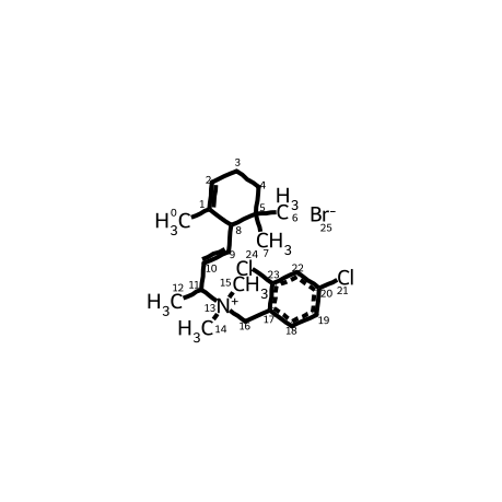 CC1=CCCC(C)(C)C1C=CC(C)[N+](C)(C)Cc1ccc(Cl)cc1Cl.[Br-]